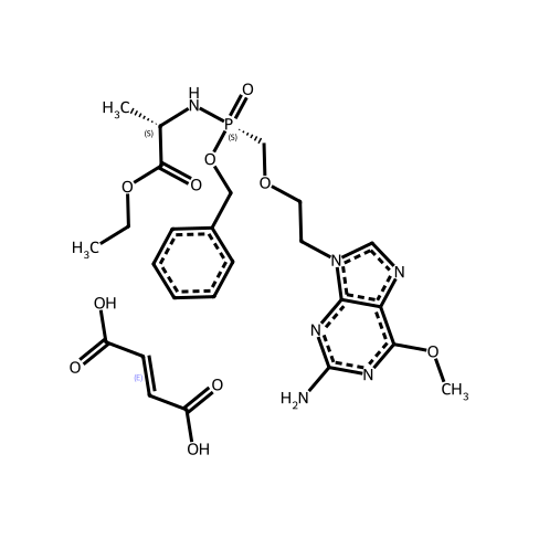 CCOC(=O)[C@H](C)N[P@](=O)(COCCn1cnc2c(OC)nc(N)nc21)OCc1ccccc1.O=C(O)/C=C/C(=O)O